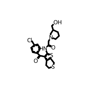 O=C(CN1CCCC(CO)C1)Nc1sc2c(c1C(=O)c1ccc(Cl)cc1)CCSC2